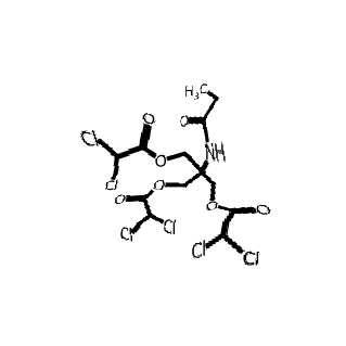 CCC(=O)NC(COC(=O)C(Cl)Cl)(COC(=O)C(Cl)Cl)COC(=O)C(Cl)Cl